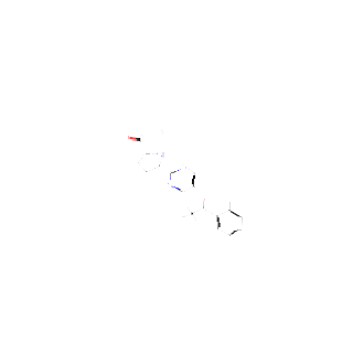 CC(=O)[C@@H]1CC[C@H](c2ncc(OC(c3ccccc3F)C(F)(F)F)cn2)N1